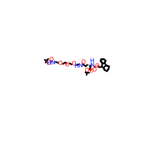 CC(C)(C)OC(=O)NCCOCCOCCOCCNC(=O)CC[C@H](NC(=O)OCC1c2ccccc2-c2ccccc21)C(=O)OC(C)(C)C